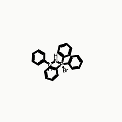 BrP(NNc1ccccc1)(c1ccccc1)(c1ccccc1)c1ccccc1